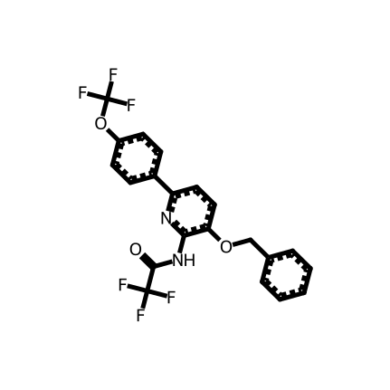 O=C(Nc1nc(-c2ccc(OC(F)(F)F)cc2)ccc1OCc1ccccc1)C(F)(F)F